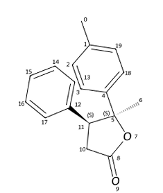 Cc1ccc([C@@]2(C)OC(=O)C[C@H]2c2ccccc2)cc1